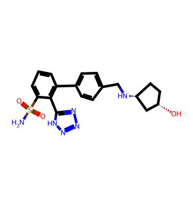 NS(=O)(=O)c1cccc(-c2ccc(CN[C@@H]3CC[C@H](O)C3)cc2)c1-c1nnn[nH]1